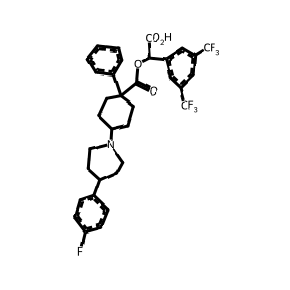 O=C(O)C(OC(=O)C1(c2ccccc2)CCC(N2CCC(c3ccc(F)cc3)CC2)CC1)c1cc(C(F)(F)F)cc(C(F)(F)F)c1